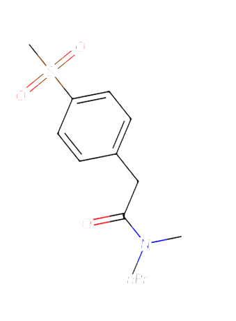 CCCN(C)C(=O)Cc1ccc(S(C)(=O)=O)cc1